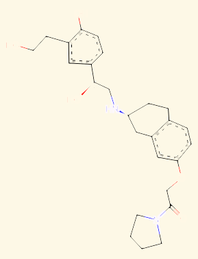 O=C(COc1ccc2c(c1)C[C@@H](NC[C@@H](O)c1ccc(O)c(CCO)c1)CC2)N1CCCC1